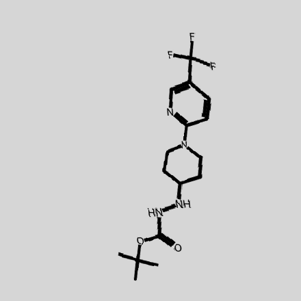 CC(C)(C)OC(=O)NNC1CCN(c2ccc(C(F)(F)F)cn2)CC1